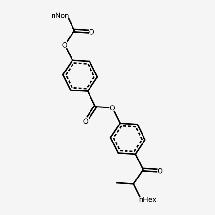 CCCCCCCCCC(=O)Oc1ccc(C(=O)Oc2ccc(C(=O)C(C)CCCCCC)cc2)cc1